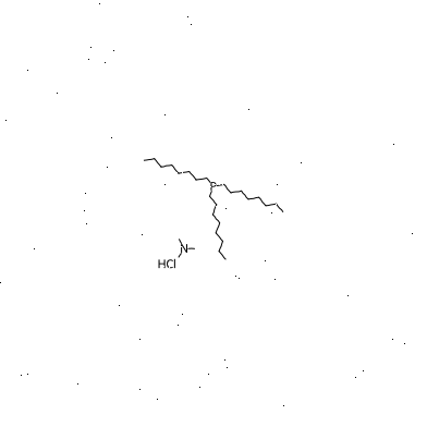 CCCCCCCCP(CCCCCCCC)CCCCCCCC.CN(C)C.Cl